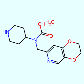 O.O=C(O)N(Cc1cc2c(cn1)OCCO2)C1CCNCC1